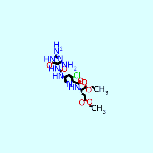 CCOC(=O)CC[C@H](NC(=O)c1ncc(NC(=O)Nc2c(N)nc(N)[nH]c2=O)cc1Cl)C(=O)OCC